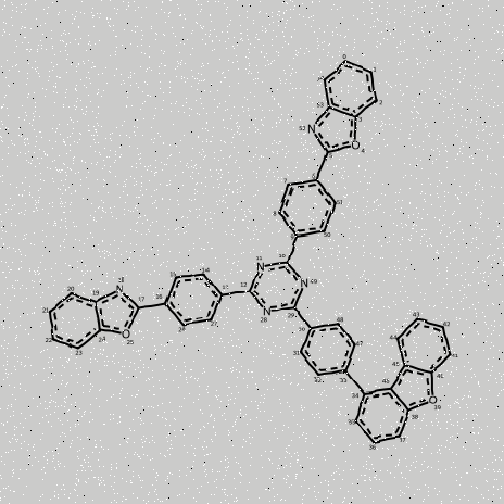 c1ccc2oc(-c3ccc(-c4nc(-c5ccc(-c6nc7ccccc7o6)cc5)nc(-c5ccc(-c6cccc7oc8ccccc8c67)cc5)n4)cc3)nc2c1